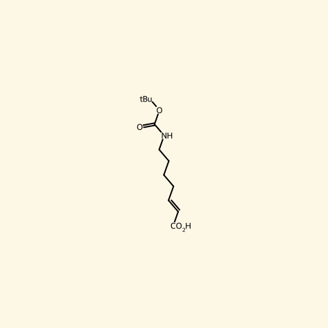 CC(C)(C)OC(=O)NCCCCC=CC(=O)O